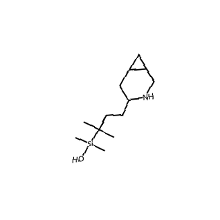 CC(C)(CCC1CC2CC2CN1)[Si](C)(C)O